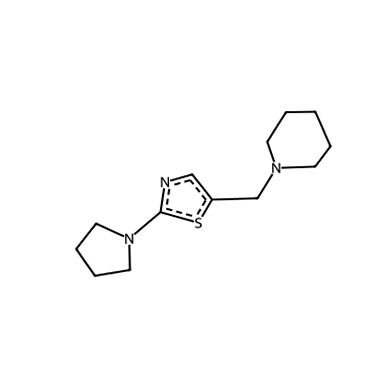 c1nc(N2CCCC2)sc1CN1CCCCC1